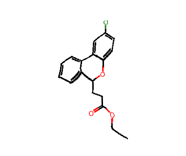 CCOC(=O)CCC1Oc2ccc(Cl)cc2-c2ccccc21